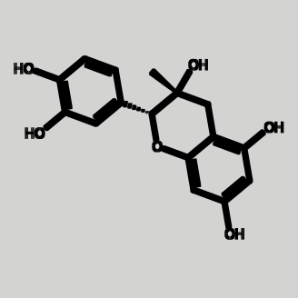 C[C@@]1(O)Cc2c(O)cc(O)cc2O[C@@H]1c1ccc(O)c(O)c1